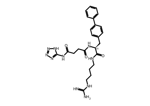 N=C(N)NCCCCNC(=O)[C@H](Cc1ccc(-c2ccccc2)cc1)NC(=O)CCC(=O)Nc1nnn[nH]1